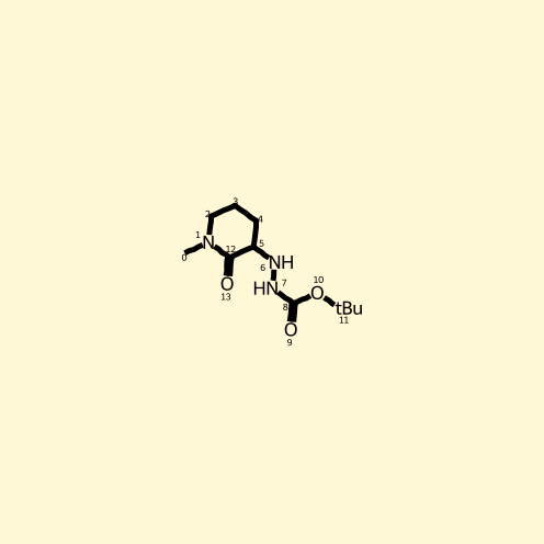 CN1CCCC(NNC(=O)OC(C)(C)C)C1=O